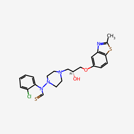 Cc1nc2cc(OC[C@H](O)CN3CCN(N(C=S)c4ccccc4Cl)CC3)ccc2s1